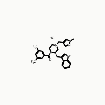 Cl.Cn1cc(CN2CCN(C(=O)c3cc(C(F)(F)F)cc(C(F)(F)F)c3)[C@H](Cc3c[nH]c4ccccc34)C2)cn1